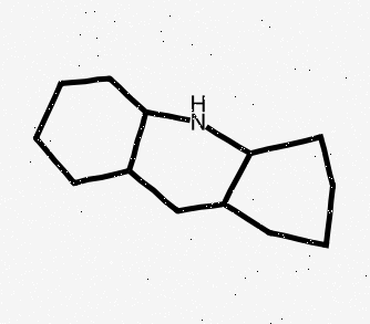 C1CCC2NC3CCCCC3CC2C1